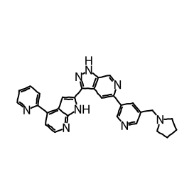 c1ccc(-c2ccnc3[nH]c(-c4n[nH]c5cnc(-c6cncc(CN7CCCC7)c6)cc45)cc23)nc1